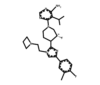 Cc1cc(-c2cn(CCN3CCC3)c(C3CCN(c4ncnc(N)c4C(C)C)C[C@@H]3F)n2)ccc1F